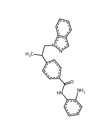 CC(Cn1ncc2ccccc21)c1ccc(C(=O)Nc2ccccc2N)cc1